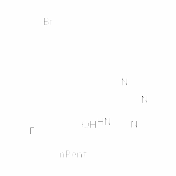 CCCCCC(O)(F)c1ccc(Br)cc1-c1nnn[nH]1